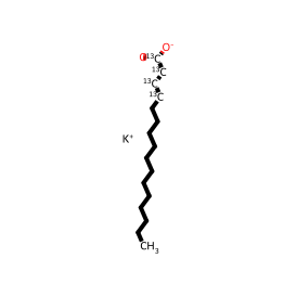 CCCCCCCCCCCC[13CH2][13CH2][13CH2][13C](=O)[O-].[K+]